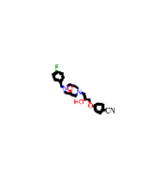 N#Cc1ccc(OCC(O)CN2CC3CN(Cc4ccc(F)cc4)CC(C2)O3)cc1